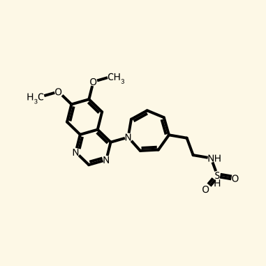 COc1cc2ncnc(N3C=CC=C(CCN[SH](=O)=O)C=C3)c2cc1OC